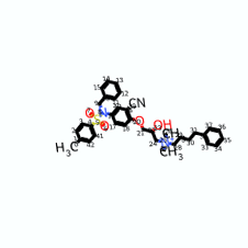 Cc1ccc(S(=O)(=O)N(Cc2ccccc2)c2ccc(OCC(O)C[N+](C)(C)CCCCc3ccccc3)c(C#N)c2)cc1